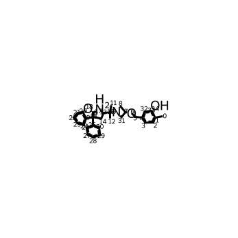 Cc1ccc(COC2CN(C(C)(C)CCC(C(N)=O)(c3ccccc3)c3ccccc3)C2)cc1O